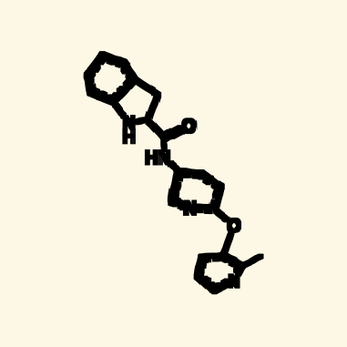 Cc1ncccc1Oc1ccc(NC(=O)C2Cc3ccccc3N2)cn1